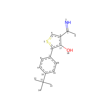 CC(=N)c1csc(-c2ccc(C(C)(C)C)cc2)c1O